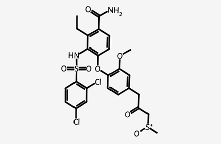 CCc1c(C(N)=O)ccc(Oc2ccc(CC(=O)C[S+](C)[O-])cc2OC)c1NS(=O)(=O)c1ccc(Cl)cc1Cl